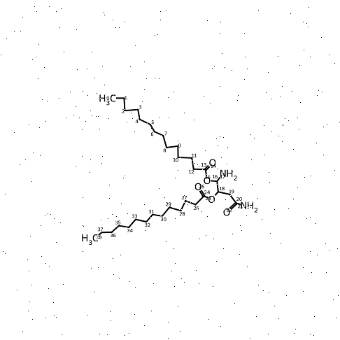 CCCCCCCCCCCCCC(=O)OC(N)C(CC(N)=O)OC(=O)CCCCCCCCCCCCC